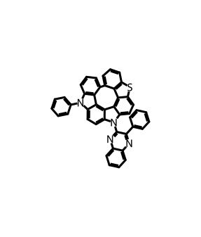 c1ccc(-c2nc3ccccc3nc2-n2c3ccc4sc5cccc6c7cccc8c7c7c(c3c4c56)c2ccc7n8-c2ccccc2)cc1